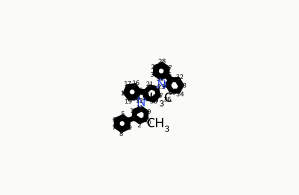 CC1C=C(c2ccccc2)C=C(n2c3c(c4ccccc42)CC(n2c4c(c5ccccc52)C=CCC4C)C=C3)C1